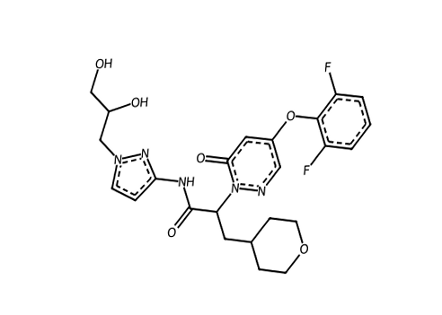 O=C(Nc1ccn(CC(O)CO)n1)C(CC1CCOCC1)n1ncc(Oc2c(F)cccc2F)cc1=O